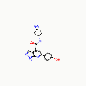 N[C@H]1CC[C@H](NC(=O)c2cc(-c3ccc(O)cc3)nc3[nH]ncc23)CC1